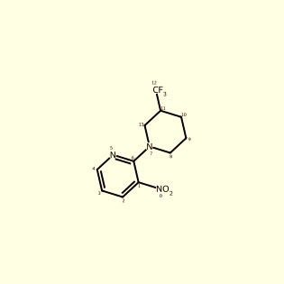 O=[N+]([O-])c1cccnc1N1CCCC(C(F)(F)F)C1